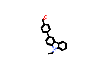 CCn1c2ccccc2c2cc(-c3ccc(C=O)cc3)ccc21